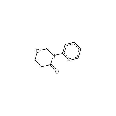 O=C1CCOCN1c1ccccc1